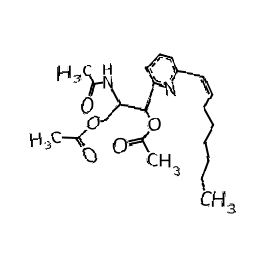 CCCCCC/C=C\c1cccc(C(OC(C)=O)C(COC(C)=O)NC(C)=O)n1